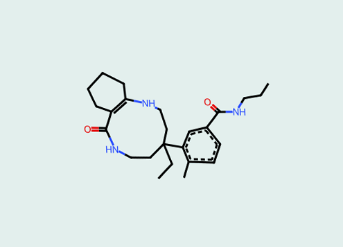 CCCNC(=O)c1ccc(C)c(C2(CC)CCNC(=O)C3=C(CCCC3)NCC2)c1